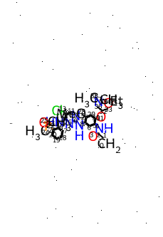 C=CC(=O)Nc1cc(Nc2ncc(Cl)c(Nc3ccccc3P(C)(C)=O)n2)c(OC)cc1OC(COCC)CN(C)C